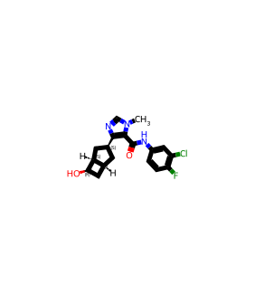 Cn1cnc([C@H]2C[C@H]3C[C@@H](O)[C@H]3C2)c1C(=O)Nc1ccc(F)c(Cl)c1